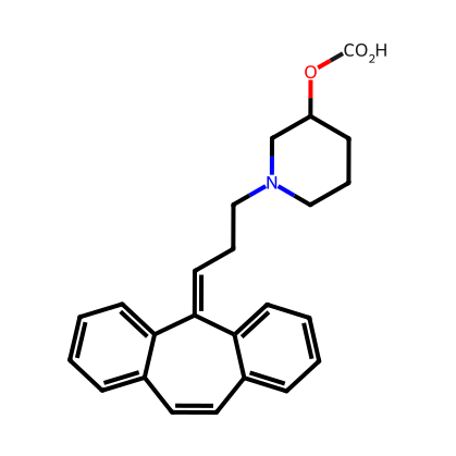 O=C(O)OC1CCCN(CCC=C2c3ccccc3C=Cc3ccccc32)C1